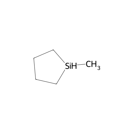 C[SiH]1CCCC1